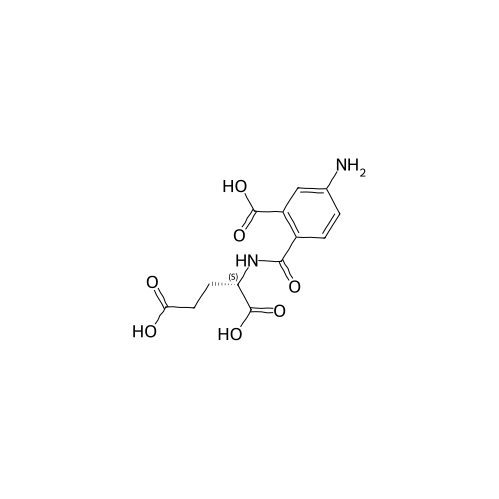 Nc1ccc(C(=O)N[C@@H](CCC(=O)O)C(=O)O)c(C(=O)O)c1